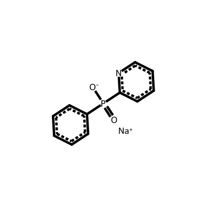 O=P([O-])(c1ccccc1)c1ccccn1.[Na+]